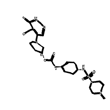 CN1CCN(S(=O)(=O)N[C@H]2CC[C@H](NC(=O)O[C@@H]3CCN(c4cn[nH]c(=O)c4Cl)C3)CC2)CC1